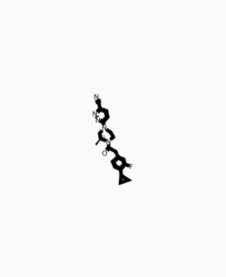 C[C@H]1CN(c2ccc(C#N)nn2)CCN1C(=O)Cc1ccc(C2CC2)c(F)c1